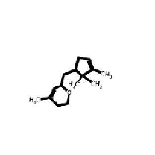 CC1=CC(CC2CC=C(C)C2(C)C)OCC1